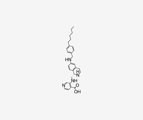 CCCCCCc1ccc(CNc2ccc3c(c2)CCN[C@@H]3CNc2cnccc2C(=O)O)cc1